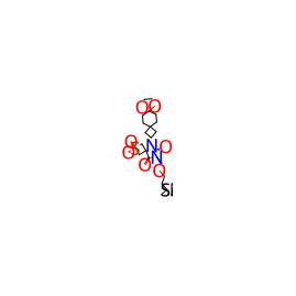 C[Si](C)(C)CCOCN1C(=O)N(C2CC3(CCC4(CC3)OCCO4)C2)C2(CS(=O)(=O)C2)C1=O